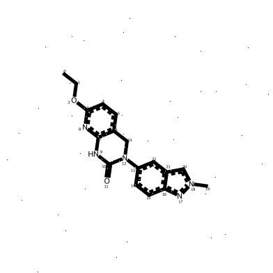 CCOc1ccc2c(n1)NC(=O)N(c1ccc3nn(C)cc3c1)C2